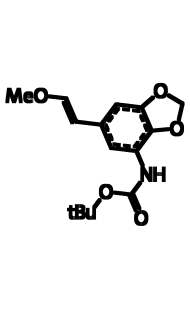 COC=Cc1cc(NC(=O)OC(C)(C)C)c2c(c1)OCO2